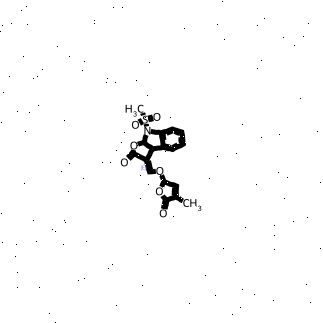 CC1=CC(O/C=C2/C(=O)OC3C2c2ccccc2N3S(C)(=O)=O)OC1=O